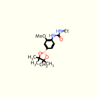 CCNC(=O)Nc1ccc(B2OC(C)(C)C(C)(C)O2)cc1OC